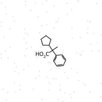 CC(C(=O)O)(c1ccccc1)C1CCCC1